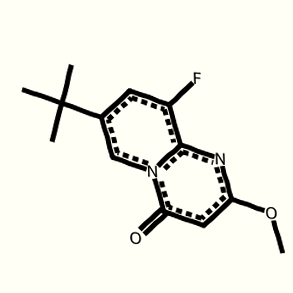 COc1cc(=O)n2cc(C(C)(C)C)cc(F)c2n1